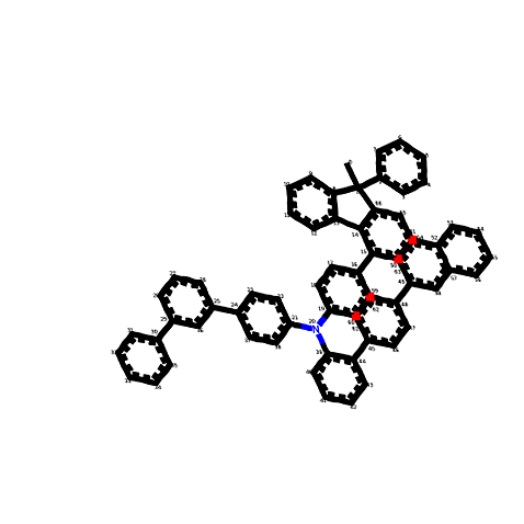 CC1(c2ccccc2)c2ccccc2-c2c(-c3ccc(N(c4ccc(-c5cccc(-c6ccccc6)c5)cc4)c4ccccc4-c4ccc(-c5ccc6ccccc6c5)cc4)cc3)cccc21